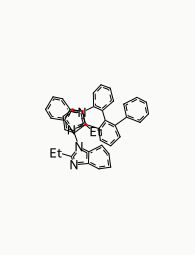 CCc1nc2ccccc2n1-c1ccccc1-c1cccc(-c2ccccc2)c1-c1ccccc1-n1c(CC)nc2ccccc21